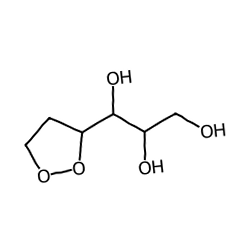 OCC(O)C(O)C1CCOO1